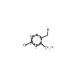 CCOC(=O)c1nc(Cl)ncc1CBr